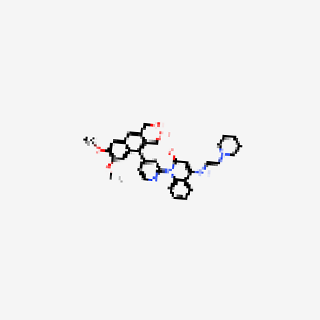 COc1cc2cc(CO)c(CO)c(-c3ccnc(-n4c(=O)cc(NCCN5CCCCC5)c5ccccc54)c3)c2cc1OC